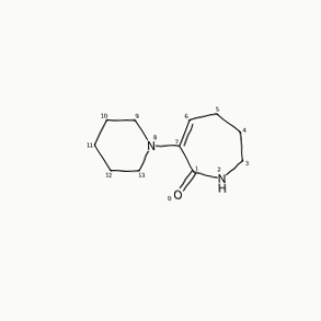 O=C1NCCCC=C1N1CCCCC1